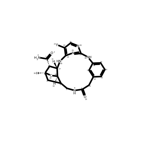 NC(=O)[C@H]1[C@@H]2CC3CNC(=O)Cc4cccc(c4)Nc4ncc(F)c(n4)N[C@@H]1[C@@H]3C2